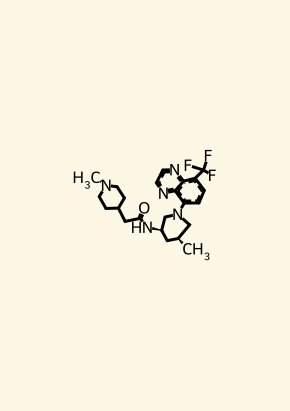 C[C@H]1C[C@@H](NC(=O)CC2CCN(C)CC2)CN(c2ccc(C(F)(F)F)c3nccnc23)C1